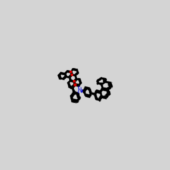 c1ccc(-c2ccc(N(c3ccc(-c4ccc5ccc6ccc7ccccc7c6c5c4)cc3)c3ccccc3-c3ccc(-c4cccc5ccccc45)cc3)cc2)cc1